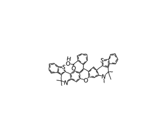 CN1c2cc3c(cc2-c2sc4ccccc4c2C1(C)C)C(c1ccccc1C(=O)O)=c1cc2c(cc1O3)=NC(C)(C)c1c-2sc2ccccc12